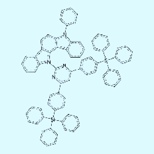 c1ccc(-n2c3ccccc3c3c2ccc2c4ccccc4n(-c4nc(-c5ccc([Si](c6ccccc6)(c6ccccc6)c6ccccc6)cc5)cc(-c5ccc([Si](c6ccccc6)(c6ccccc6)c6ccccc6)cc5)n4)c23)cc1